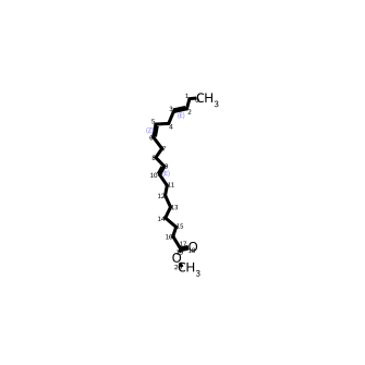 CC/C=C/C/C=C\CC/C=C/CCCCCCC(=O)OC